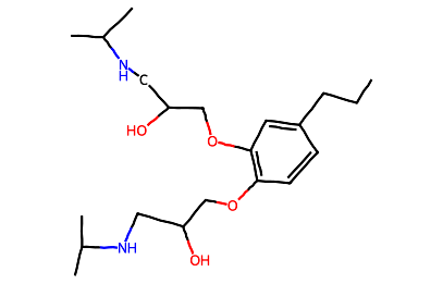 CCCc1ccc(OCC(O)CNC(C)C)c(OCC(O)CNC(C)C)c1